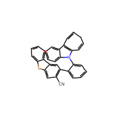 N#Cc1cc2sc3ccccc3c2cc1-c1ccccc1-n1c2c(c3ccccc31)C=CCC=C2